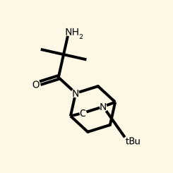 CC(C)(N)C(=O)N1CC2CCC1CN2C(C)(C)C